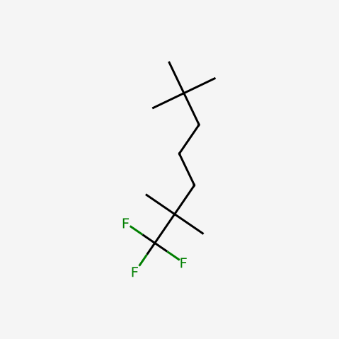 CC(C)(C)CCCC(C)(C)C(F)(F)F